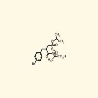 CC(N)OP(=O)(CC(Cc1ccc(Br)cc1)C(=O)NC(C)C(=O)O)OO